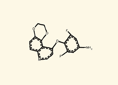 Nc1cc(F)c(Oc2ccnc3ccc4c(c23)OCCO4)c(F)c1